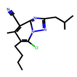 CCCCc1c(C)c(C#N)c2nc(CC(C)C)nn2c1Cl